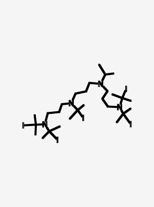 CC(C)N(CCCN(CCCN(C(C)(C)I)C(C)(C)I)C(C)(C)I)CCCN(C(C)(C)I)C(C)(C)I